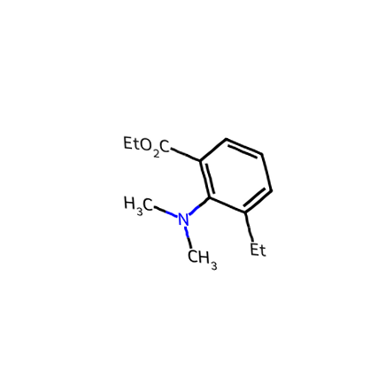 CCOC(=O)c1cccc(CC)c1N(C)C